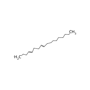 [CH2]CCC=CCCC=CCCCCCCCCC